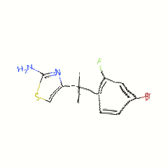 CC(C)(c1csc(N)n1)c1ccc(Br)cc1F